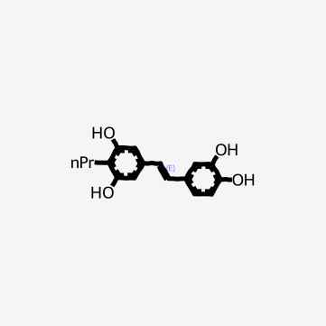 CCCc1c(O)cc(/C=C/c2ccc(O)c(O)c2)cc1O